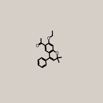 CCOc1cc2c(cc1C(C)=O)C(c1ccccc1)=CC(C)(C)O2